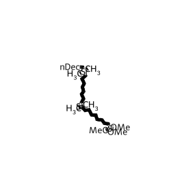 CCCCCCCCCCC[Si](C)(C)CCCCCCCC[Si](C)(C)CCCCCCCC[Si](OC)(OC)OC